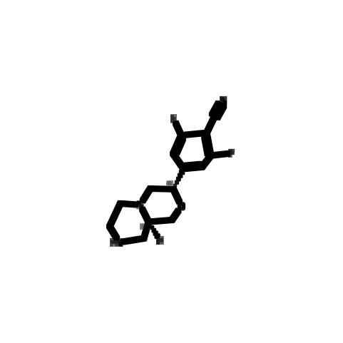 N#Cc1c(F)cc([C@H]2CN3CCNC[C@@H]3CO2)cc1F